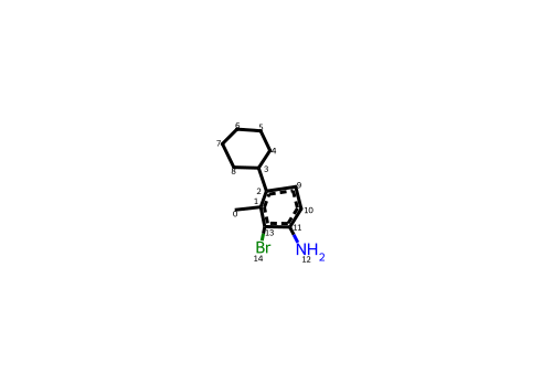 Cc1c(C2CCCCC2)ccc(N)c1Br